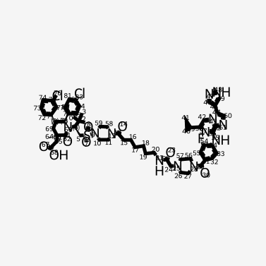 CC(C)(C)[C@@H](CS(=O)(=O)N1CCN(C(=O)CCCCCCNC(=O)CN2CCN(C(=O)c3ccc(Nc4nc(C5CC5)cn5c(-c6cn[nH]c6)cnc45)c(F)c3)CC2)CC1)N1C(=O)[C@@](C)(CC(=O)O)C[C@H](c2cccc(Cl)c2)[C@H]1c1ccc(Cl)cc1